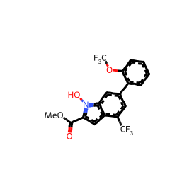 COC(=O)c1cc2c(C(F)(F)F)cc(-c3ccccc3OC(F)(F)F)cc2n1O